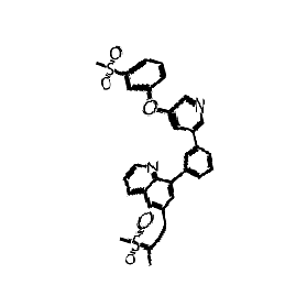 CC(Cc1cc(-c2cccc(-c3cncc(Oc4cccc(S(C)(=O)=O)c4)c3)c2)c2ncccc2c1)S(C)(=O)=O